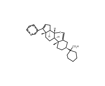 C[C@]12CC[C@H](C3(C(=O)O)CCCCC3)CC1=CC[C@@H]1[C@@H]2CC[C@]2(C)C(c3cccnc3)=CC[C@@H]12